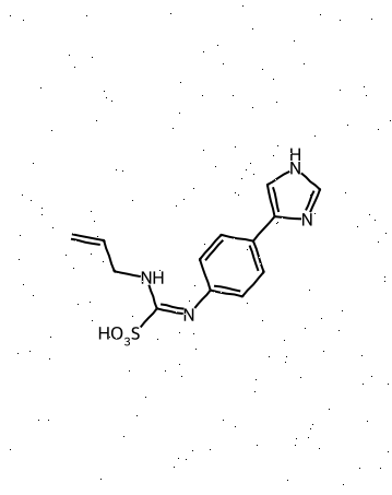 C=CCN/C(=N\c1ccc(-c2c[nH]cn2)cc1)S(=O)(=O)O